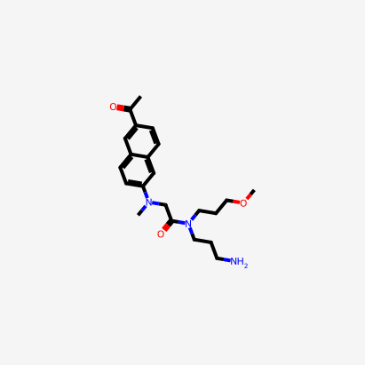 COCCCN(CCCN)C(=O)CN(C)c1ccc2cc(C(C)=O)ccc2c1